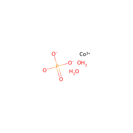 O.O.O=P([O-])([O-])[O-].[Co+3]